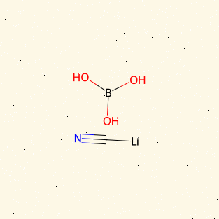 OB(O)O.[Li][C]#N